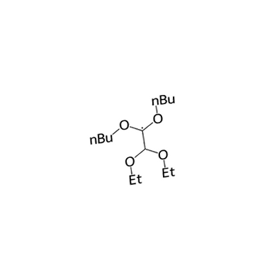 CCCCO[C](OCCCC)C(OCC)OCC